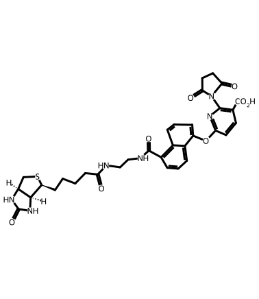 O=C(CCCC[C@@H]1SC[C@@H]2NC(=O)N[C@@H]21)NCCNC(=O)c1cccc2c(Oc3ccc(C(=O)O)c(N4C(=O)CCC4=O)n3)cccc12